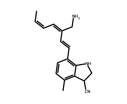 C\C=C/C=C(\C=C\c1ccc(C)c2c1NCC2C#N)CN